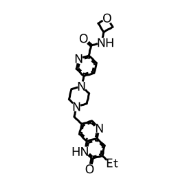 CCc1cc2ncc(CN3CCN(c4ccc(C(=O)NC5COC5)nc4)CC3)cc2[nH]c1=O